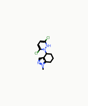 Cn1ncc2c1CCCC2N1NC(Cl)=CC=C1Cl